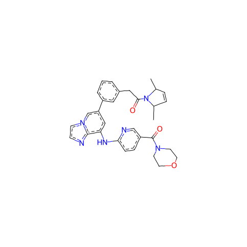 CC1C=CC(C)N1C(=O)Cc1cccc(-c2cc(Nc3ccc(C(=O)N4CCOCC4)cn3)c3nccn3c2)c1